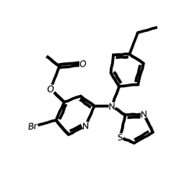 CCc1ccc(N(c2cc(OC(C)=O)c(Br)cn2)c2nccs2)cc1